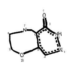 O=c1[nH]ncc2c1[N]CCO2